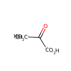 O=C(O)C(=O)C(=O)O.[CH]